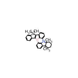 CC12CCCCC1(C)N1c3cccc4c3B(C3=C4[Si](C)(C)c4ccccc43)c3cccc2c31